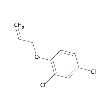 C=CCOc1[c]cc(Cl)cc1Cl